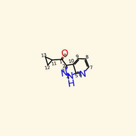 O=C(c1n[nH]c2ncccc12)C1CC1